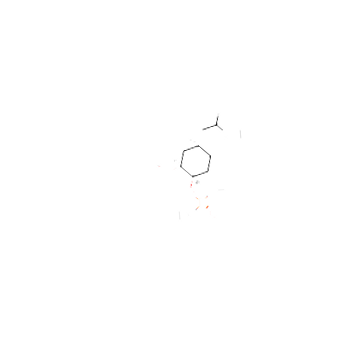 CO[C@@H]1C[C@H](CC(C)C)CC[C@H]1OP(C)(C)=O